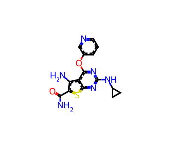 NC(=O)c1sc2nc(NC3CC3)nc(Oc3cccnc3)c2c1N